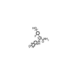 COc1ncc2nc(Nc3sc(-c4ccc(C(C)(C)O)cc4F)cc3C(N)=O)ccc2n1